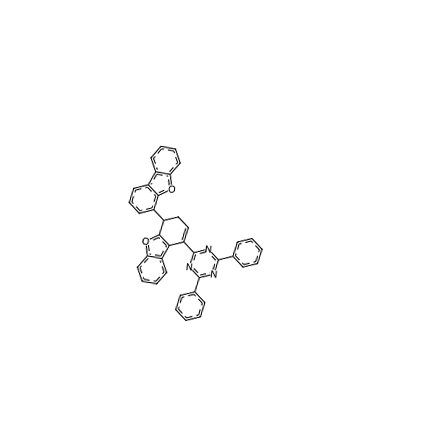 C1=C(c2nc(-c3ccccc3)nc(-c3ccccc3)n2)c2c(oc3ccccc23)C(c2cccc3c2oc2ccccc23)C1